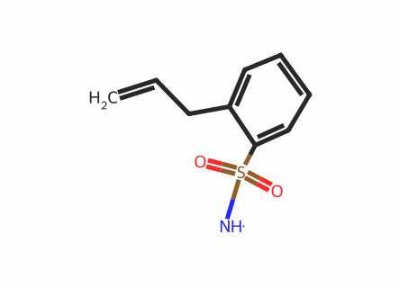 C=CCc1ccccc1S([NH])(=O)=O